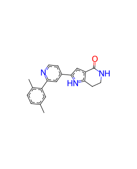 Cc1ccc(C)c(-c2cc(-c3cc4c([nH]3)CCNC4=O)ccn2)c1